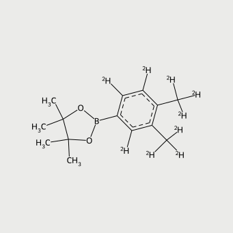 [2H]c1c([2H])c(C([2H])([2H])[2H])c(C([2H])([2H])[2H])c([2H])c1B1OC(C)(C)C(C)(C)O1